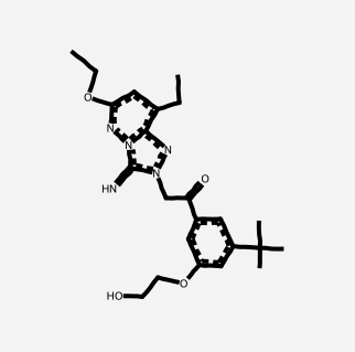 CCOc1cc(CC)c2nn(CC(=O)c3cc(OCCO)cc(C(C)(C)C)c3)c(=N)n2n1